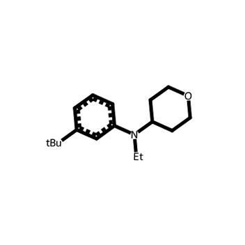 CCN(c1cccc(C(C)(C)C)c1)C1CCOCC1